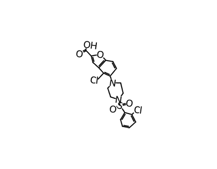 O=C(O)c1cc2c(Cl)c(N3CCN(S(=O)(=O)c4ccccc4Cl)CC3)ccc2o1